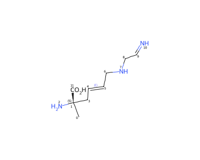 C[C@](N)(C/C=C/CNCC=N)C(=O)O